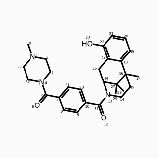 CN1CCN(C(=O)c2ccc(C(=O)N3CCC4(C)c5cccc(O)c5CC3C4(C)C)cc2)CC1